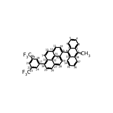 Cc1c2ccccc2c(-c2ccc3ccc4c(-c5cc(C(F)(F)F)cc(C(F)(F)F)c5)ccc5ccc2c3c54)c2ccccc12